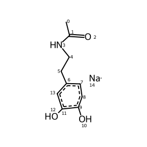 CC(=O)NCCc1ccc(O)c(O)c1.[Na]